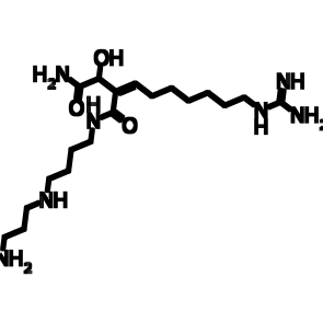 N=C(N)NCCCCCCC=C(C(=O)NCCCCNCCCN)C(O)C(N)=O